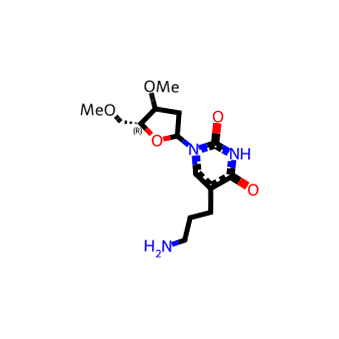 COC[C@H]1OC(n2cc(CCCN)c(=O)[nH]c2=O)CC1OC